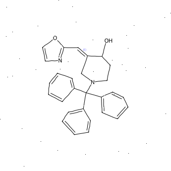 OC1CCN(C(c2ccccc2)(c2ccccc2)c2ccccc2)C/C1=C\c1ncco1